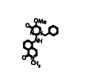 COc1cn(Cc2ccccc2)c(Nc2cccc3c(=O)n(C)ccc23)nc1=O